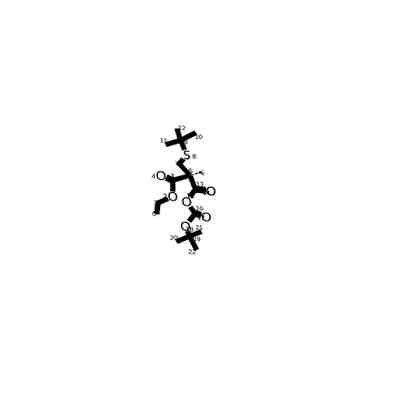 CCOC(=O)[C@@](C)(CSC(C)(C)C)C(=O)OC(=O)OC(C)(C)C